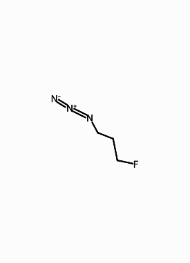 [N-]=[N+]=NCCCF